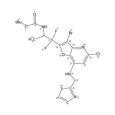 CC(NC(=O)OC(C)(C)C)C(F)(F)c1oc2c(NCc3nccs3)cc(Cl)nc2c1Br